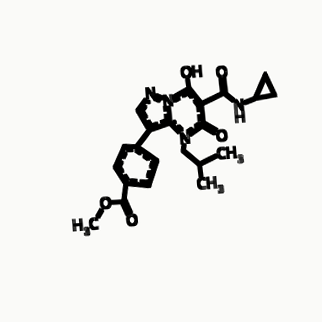 COC(=O)c1ccc(-c2cnn3c(O)c(C(=O)NC4CC4)c(=O)n(CC(C)C)c23)cc1